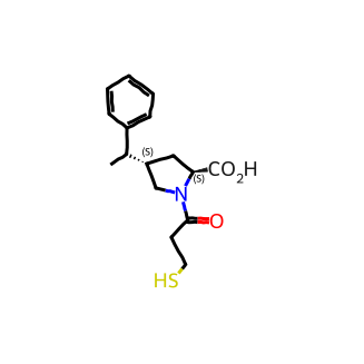 CC(c1ccccc1)[C@@H]1C[C@@H](C(=O)O)N(C(=O)CCS)C1